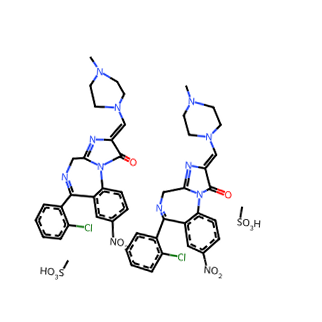 CN1CCN(/C=C2\N=C3CN=C(c4ccccc4Cl)c4cc([N+](=O)[O-])ccc4N3C2=O)CC1.CN1CCN(/C=C2\N=C3CN=C(c4ccccc4Cl)c4cc([N+](=O)[O-])ccc4N3C2=O)CC1.CS(=O)(=O)O.CS(=O)(=O)O